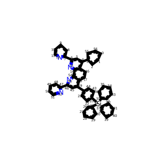 c1ccc(-c2cc(-c3ccccn3)nc3c2ccc2c(-c4ccc([Si](c5ccccc5)(c5ccccc5)c5ccccc5)cc4)cc(-c4ccccn4)nc23)cc1